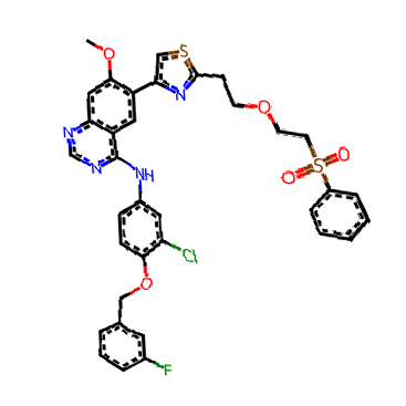 COc1cc2ncnc(Nc3ccc(OCc4cccc(F)c4)c(Cl)c3)c2cc1-c1csc(CCOCCS(=O)(=O)c2ccccc2)n1